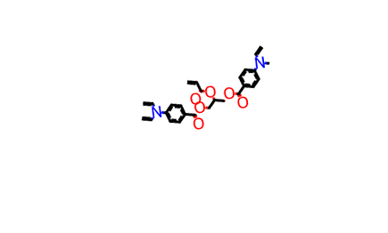 C=CC(=O)OC(COC(=O)c1ccc(N(C)C=C)cc1)COC(=O)c1ccc(N(C=C)C=C)cc1